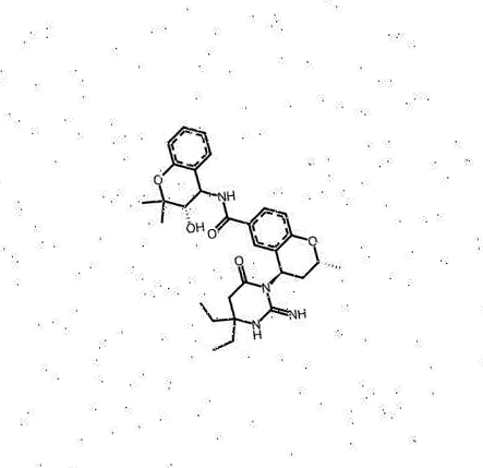 CCC1(CC)CC(=O)N([C@@H]2C[C@@H](C)Oc3ccc(C(=O)NC4c5ccccc5OC(C)(C)[C@H]4O)cc32)C(=N)N1